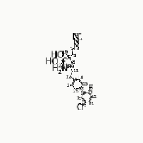 [N-]=[N+]=NCCC(CO)(C[C@H](N)CCc1ccc(-c2cc(Cl)ccc2F)cc1)C(=O)O